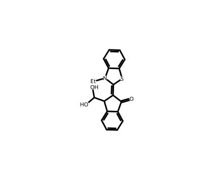 CCN1/C(=C2/C(=O)c3ccccc3C2C(O)O)Sc2ccccc21